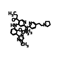 CCC(=O)c1cnc(N(C)c2ccc(CCN3CCCC3)cn2)cc1Nc1cccc(-c2ncn(C)n2)c1OC